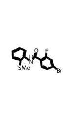 CSc1ccccc1NC(=O)c1ccc(Br)cc1F